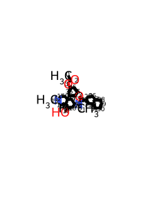 CC(=O)Oc1cccc([C@@]23CCN(C)C[C@H]2C(O)C[C@H](N(C)C(=O)c2ccc4ccccc4c2)C3)c1